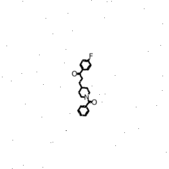 O=C(CCC1CCN(C(=O)c2ccccc2)CC1)c1ccc(F)cc1